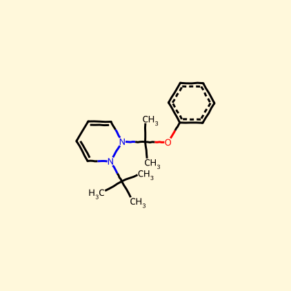 CC(C)(C)N1C=CC=CN1C(C)(C)Oc1ccccc1